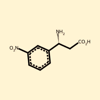 N[C@H](CC(=O)O)c1cccc([N+](=O)[O-])c1